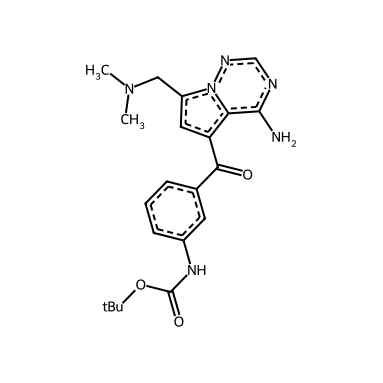 CN(C)Cc1cc(C(=O)c2cccc(NC(=O)OC(C)(C)C)c2)c2c(N)ncnn12